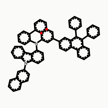 c1ccc(-c2ccccc2N(c2cccc(-c3ccc4c(c3)c(-c3ccccc3)c(-c3ccccc3)c3ccccc34)c2)c2cccc3c2c2ccccc2n3-c2ccc3ccccc3c2)cc1